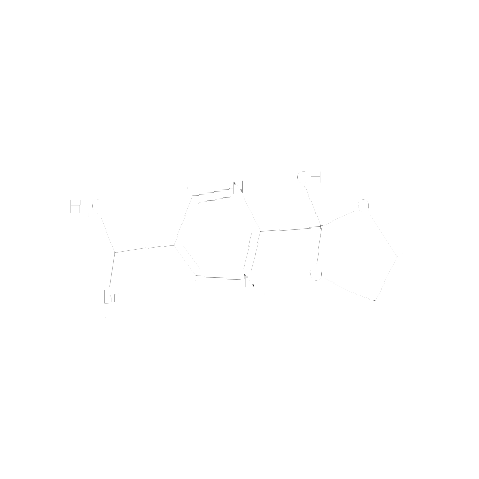 CC(Br)c1cnc(C2(C)OCCO2)nc1